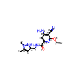 CCOc1nc(C(=O)NCC2C=C(C)N(C)N2)cc(N)c1C#N